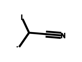 [CH2]C(I)C#N